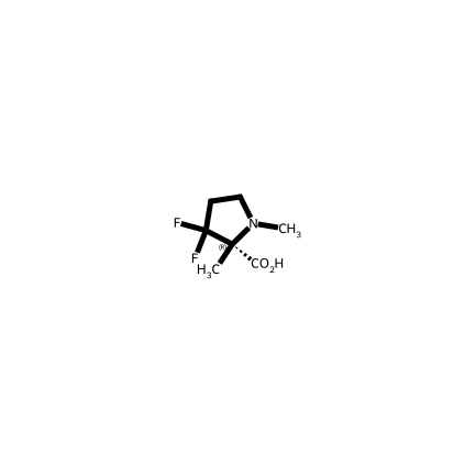 CN1CCC(F)(F)[C@@]1(C)C(=O)O